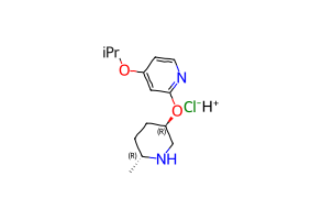 CC(C)Oc1ccnc(O[C@@H]2CC[C@@H](C)NC2)c1.[Cl-].[H+]